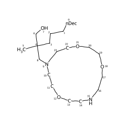 CCCCCCCCCCCCCC(C)(CO)CN1CCOCCNCCOCCOCC1